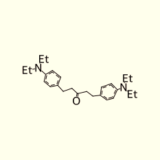 CCN(CC)c1ccc(CCC(=O)CCc2ccc(N(CC)CC)cc2)cc1